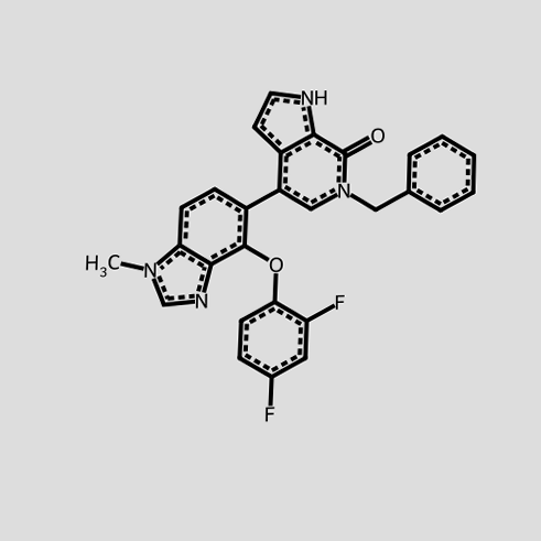 Cn1cnc2c(Oc3ccc(F)cc3F)c(-c3cn(Cc4ccccc4)c(=O)c4[nH]ccc34)ccc21